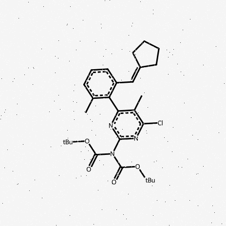 Cc1cccc(C=C2CCCC2)c1-c1nc(N(C(=O)OC(C)(C)C)C(=O)OC(C)(C)C)nc(Cl)c1C